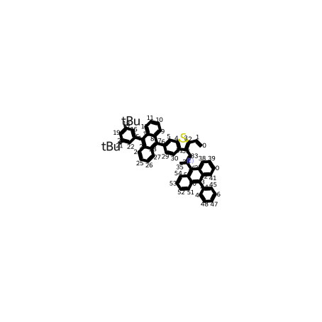 C=Cc1sc2cc(-c3c4ccccc4c(-c4cc(C(C)(C)C)cc(C(C)(C)C)c4)c4ccccc34)ccc2c1/C=C(\C)c1c2ccccc2c(-c2ccccc2)c2ccccc12